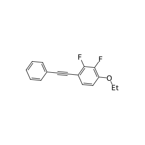 CCOc1ccc(C#Cc2ccccc2)c(F)c1F